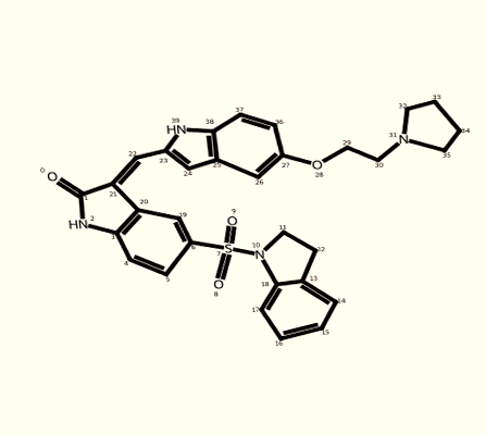 O=C1Nc2ccc(S(=O)(=O)N3CCc4ccccc43)cc2/C1=C\c1cc2cc(OCCN3CCCC3)ccc2[nH]1